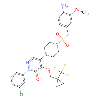 COc1cc(CS(=O)(=O)N2CCN(c3cnn(-c4cccc(Cl)c4)c(=O)c3OCC3(C(F)(F)F)CC3)CC2)ccc1N